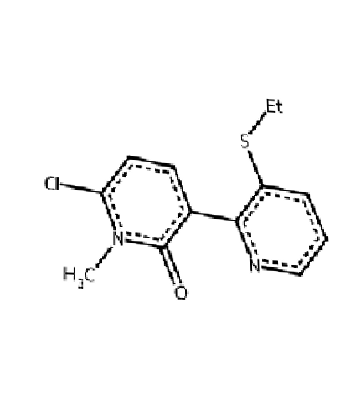 CCSc1cccnc1-c1ccc(Cl)n(C)c1=O